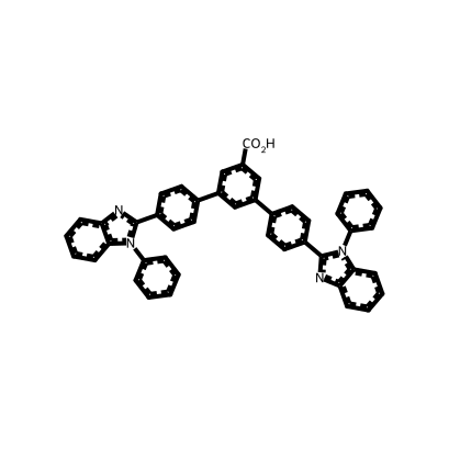 O=C(O)c1cc(-c2ccc(-c3nc4ccccc4n3-c3ccccc3)cc2)cc(-c2ccc(-c3nc4ccccc4n3-c3ccccc3)cc2)c1